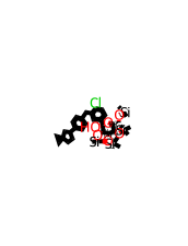 C[Si](C)(C)OC[C@H]1OC(O)(c2ccc(Cl)c(Cc3ccc(C4CCC5(CC5)C4)cc3)c2)[C@H](O[Si](C)(C)C)[C@@H](O[Si](C)(C)C)[C@@H]1O[Si](C)(C)C